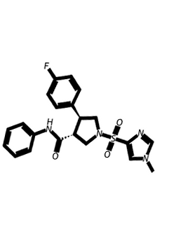 Cn1cnc(S(=O)(=O)N2C[C@H](C(=O)Nc3ccccc3)[C@@H](c3ccc(F)cc3)C2)c1